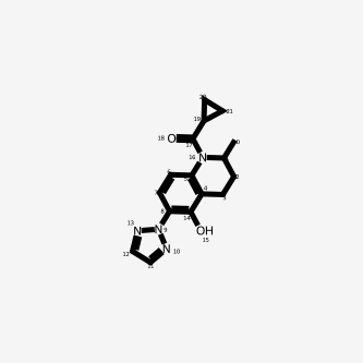 CC1CCc2c(ccc(-n3nccn3)c2O)N1C(=O)C1CC1